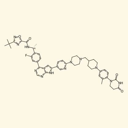 Cc1cc(N2CCC(CN3CCN(c4ccc(-c5cc6c(-c7ccc([C@@H](C)NC(=O)c8nc(C(C)(C)C)no8)c(F)c7)ncnc6[nH]5)cn4)CC3)CC2)ccc1N1CCC(=O)NC1=O